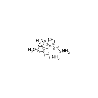 CC(CCCCCN)CC(O)C(N)C(C)CCCCCN